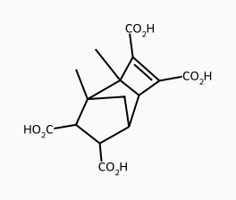 CC12CC(C(C(=O)O)C1C(=O)O)C1C(C(=O)O)=C(C(=O)O)C12C